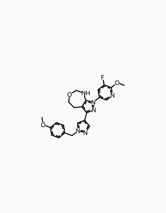 COc1ccc(Cn2cc(-c3nn(-c4cnc(OC)c(F)c4)c4c3CCOCN4)cn2)cc1